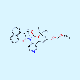 COCOCC=CCc1cnccc1N(C(=O)OC(C)(C)C)C(=O)C(C)c1cccc2ccccc12